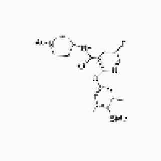 CSc1c(C)cc(Oc2ncc(F)cc2C(=O)NC2CCN(C(C)=O)CC2)cc1C